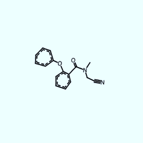 CN(CC#N)C(=O)c1ccccc1Oc1ccccc1